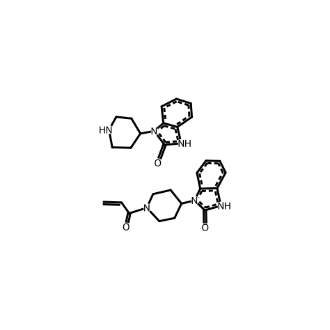 C=CC(=O)N1CCC(n2c(=O)[nH]c3ccccc32)CC1.O=c1[nH]c2ccccc2n1C1CCNCC1